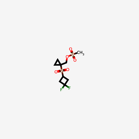 CS(=O)(=O)OCC1(S(=O)(=O)C2CC(F)(F)C2)CC1